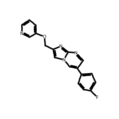 Fc1ccc(-c2cnc3nc(COc4cccnc4)cn3c2)cc1